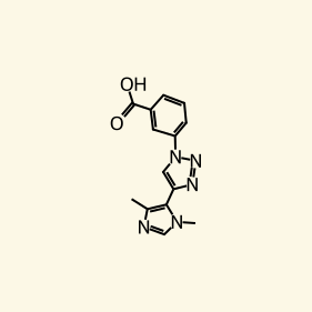 Cc1ncn(C)c1-c1cn(-c2cccc(C(=O)O)c2)nn1